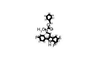 CN(CCc1c(-c2ccc(F)cc2)[nH]c2c(F)cc(F)cc12)C(=O)OCc1ccccc1